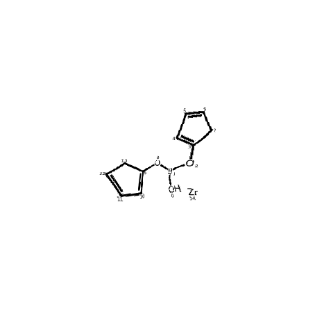 OB(OC1=CC=CC1)OC1=CC=CC1.[Zr]